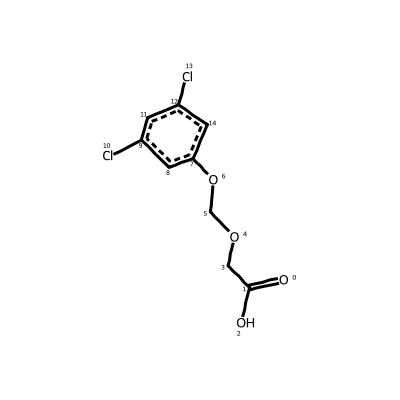 O=C(O)COCOc1cc(Cl)cc(Cl)c1